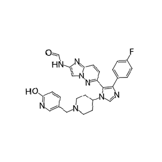 O=CNc1cn2nc(-c3c(-c4ccc(F)cc4)ncn3C3CCN(Cc4ccc(O)nc4)CC3)ccc2n1